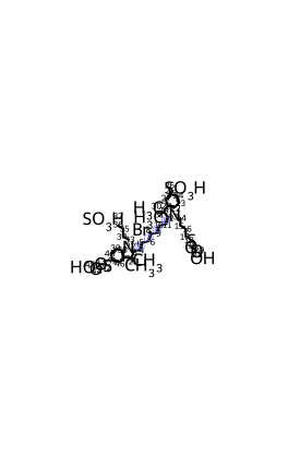 CC1(C)C(/C=C/C=C(Br)/C=C/C=C2/N(CCCCSOOO)c3ccc(S(=O)(=O)O)cc3C2(C)C)=[N+](CCCCS(=O)(=O)O)c2ccc(SOOO)cc21